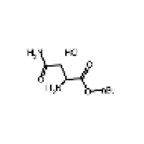 CCCCOC(=O)[C@@H](N)CC(N)=O.Cl